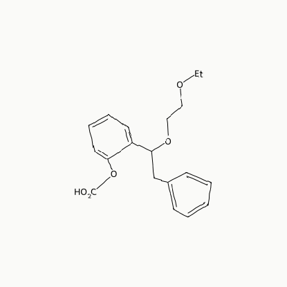 CCOCCOC(Cc1ccccc1)c1ccccc1OC(=O)O